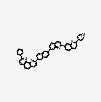 c1ccc(-c2ccc3ccc4ccc(-c5ccc6cc(-c7ccc8ccc(-c9ccc%10ccc(-c%11ccncc%11)nc%10c9)nc8c7)ccc6c5)nc4c3n2)cc1